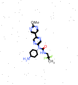 COc1ncc(-c2cnc(N(C(=O)NCC(C)(F)F)[C@H]3CC[C@H](N)CC3)cn2)cn1